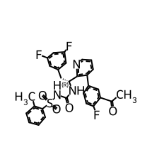 CC(=O)c1cc(-c2cccnc2[C@@H](Cc2cc(F)cc(F)c2)NC(=O)NS(=O)(=O)c2ccccc2C)ccc1F